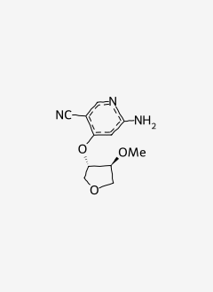 CO[C@H]1COC[C@@H]1Oc1cc(N)ncc1C#N